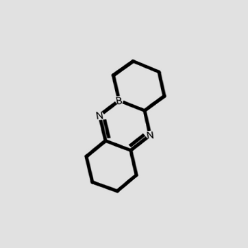 C1CCC2N=C3CCCCC3=NB2C1